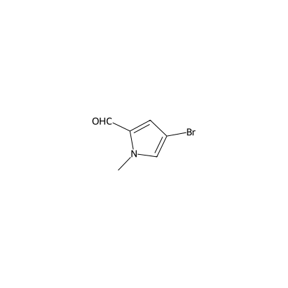 Cn1cc(Br)cc1C=O